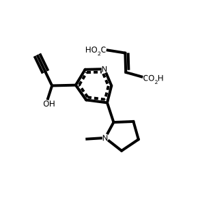 C#CC(O)c1cncc(C2CCCN2C)c1.O=C(O)C=CC(=O)O